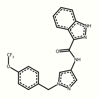 O=C(Nc1cnn(Cc2ccc(OC(F)(F)F)cc2)c1)c1n[nH]c2ccccc12